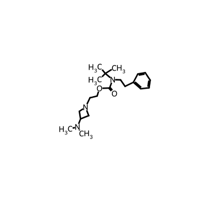 CN(C)C1CN(CCOC(=O)N(CCc2ccccc2)C(C)(C)C)C1